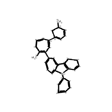 CC1=C(C2=C=CC=c3c(c4c(n3-c3ccccc3)C=CCC4)=C2)C=C(C2=CC=CC(C)C2)C=CC1